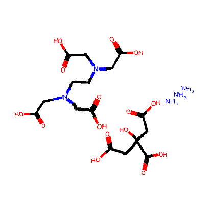 N.N.N.O=C(O)CC(O)(CC(=O)O)C(=O)O.O=C(O)CN(CCN(CC(=O)O)CC(=O)O)CC(=O)O